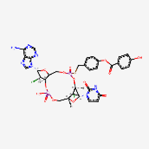 Nc1ncnc2c1ncn2[C@@H]1OC2COP(=O)(SCc3ccc(OC(=O)c4ccc(O)cc4)cc3)O[C@@H]3[C@H](F)[C@@H](COP(=O)(O)O[C@H]2[C@H]1F)O[C@H]3n1ccc(=O)[nH]c1=O